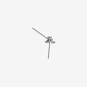 CCCCCCCCCCCCCCCCCC(O)C(=O)N[C@@H](CO)[C@H](O)CCCCCCCCCCCCCCC